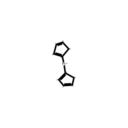 C1=CC[C]([Pt][C]2=CC=CC2)=C1